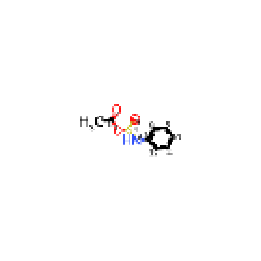 CC(=O)OS(=O)Nc1ccccc1